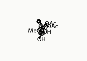 COC12CC[C@H](CCO)O[C@@H]1[C@@H](O)[C@@H]1OC(CC(COC(C)=O)OC(C)=O)[C@H](OCc3ccccc3)[C@@H]1O2